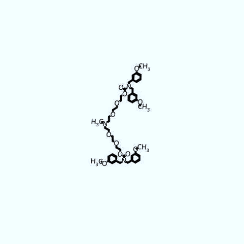 COc1cccc(CN(Cc2cccc(OC)c2)C(=O)OCCOCCOCCN(C)CCOCCOCCOC(=O)N(Cc2cccc(OC)c2)Cc2cccc(OC)c2)c1